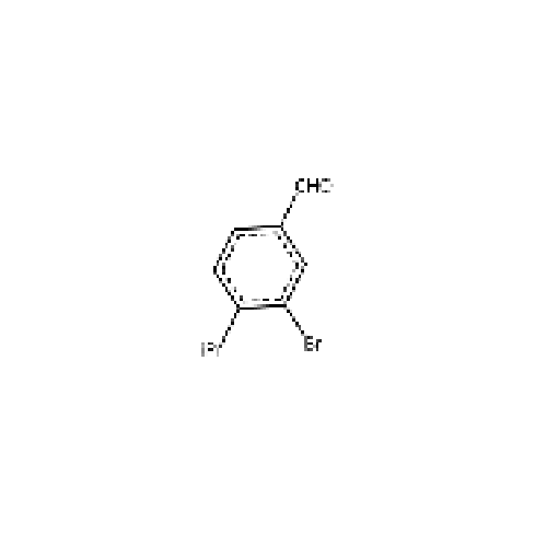 CC(C)c1ccc(C=O)cc1Br